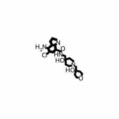 Nc1c(Cl)cc(C(=O)NCC2(O)CCN(CC3(O)CCOCC3)CC2)c2ncccc12